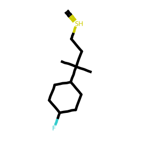 C=[SH]CCC(C)(C)C1CCC(F)CC1